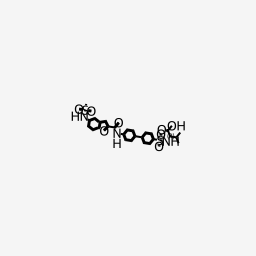 CC(C)[C@@H](NS(=O)(=O)c1ccc(-c2ccc(NC(=O)c3cc4cc(NS(C)(=O)=O)ccc4o3)cc2)cc1)C(=O)O